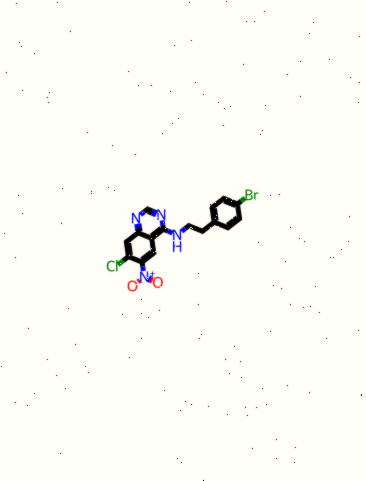 O=[N+]([O-])c1cc2c(NCCc3ccc(Br)cc3)ncnc2cc1Cl